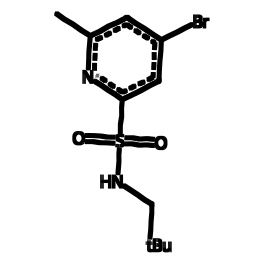 Cc1cc(Br)cc(S(=O)(=O)NCC(C)(C)C)n1